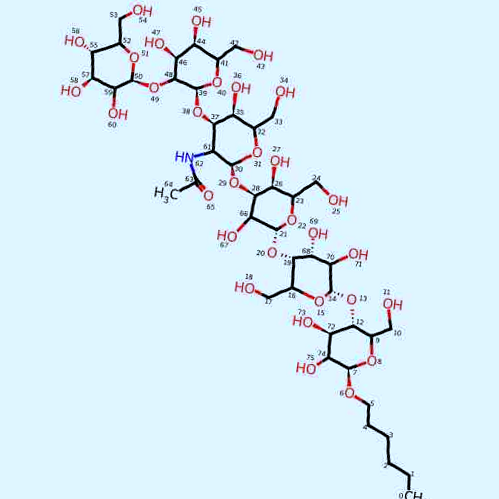 CCCCCCO[C@@H]1OC(CO)[C@@H](O[C@@H]2OC(CO)[C@H](O[C@H]3OC(CO)[C@H](O)[C@H](O[C@@H]4OC(CO)[C@H](O)[C@H](O[C@@H]5OC(CO)[C@H](O)[C@H](O)C5O[C@@H]5OC(CO)[C@@H](O)[C@H](O)C5O)C4NC(C)=O)C3O)[C@H](O)C2O)[C@H](O)C1O